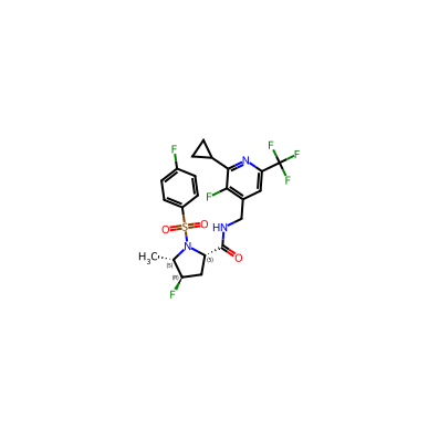 C[C@H]1[C@H](F)C[C@@H](C(=O)NCc2cc(C(F)(F)F)nc(C3CC3)c2F)N1S(=O)(=O)c1ccc(F)cc1